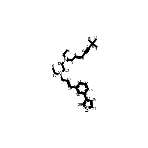 CCN(C/C=C/C#CC(C)(C)C)CCN(CC)C/C=C/c1cccc(-c2ccsc2)c1